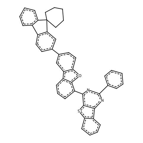 c1ccc(-c2nc(-c3cccc4c3oc3ccc(-c5ccc6c(c5)C5(CCCCC5)c5ccccc5-6)cc34)c3sc4ccccc4c3n2)cc1